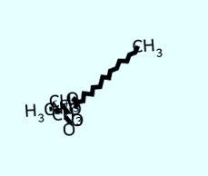 CCCCCCCCCCCCCCC(=O)O[C@H](CC(=O)[O-])C[N+](C)(C)C